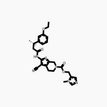 CCOc1cccc([C@@H](C)CC(=O)Nc2sc3c(c2C#N)CCN(C(=O)OCc2cncn2C)C3)c1